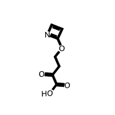 O=C(O)C(=O)CCOC1=NC=C1